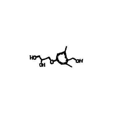 Cc1cc(OCC(O)CO)cc(C)c1CO